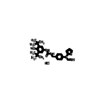 CC(C)(C)c1cc(NC(=O)NCc2ccc(N(C=N)c3cccs3)cc2)cc(C(C)(C)C)c1O.Cl